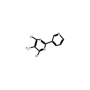 FC(F)(F)c1c(Cl)nc(-c2cccnc2)nc1Cl